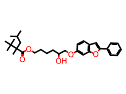 CC(C)CC(C)(C(=O)OCCCCC(O)COc1ccc2cc(-c3ccccc3)oc2c1)C(C)(C)C